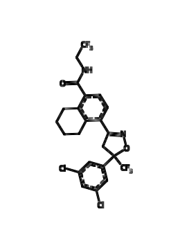 O=C(NCC(F)(F)F)c1ccc(C2=NOC(c3cc(Cl)cc(Cl)c3)(C(F)(F)F)C2)c2c1CCCC2